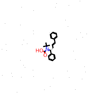 CC(C)(C)N(C(=O)O)[C@H](CC=Cc1ccccc1)c1ccccc1